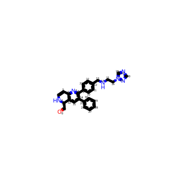 O=CC1NC=Cc2nc(-c3ccc(CNCCn4cncn4)cc3)c(-c3ccccc3)cc21